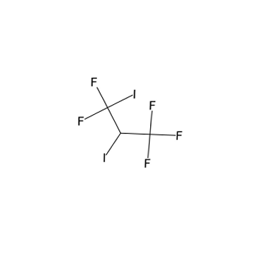 FC(F)(F)C(I)C(F)(F)I